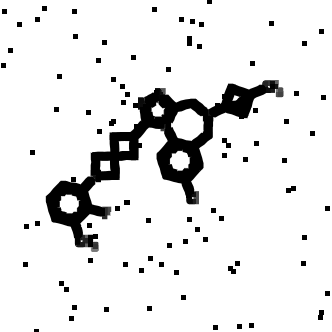 Cc1cccc(N2CC3(CC(c4nnc5n4-c4ccc(Cl)cc4CN(C46CC(C(F)(F)F)(C4)C6)C5)C3)C2)c1F